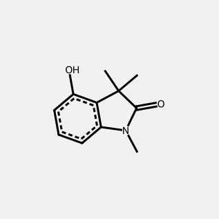 CN1C(=O)C(C)(C)c2c(O)cccc21